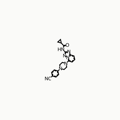 N#Cc1ccc(N2CCN(c3cccc4nc(NC(=O)C5CC5)nn34)CC2)cc1